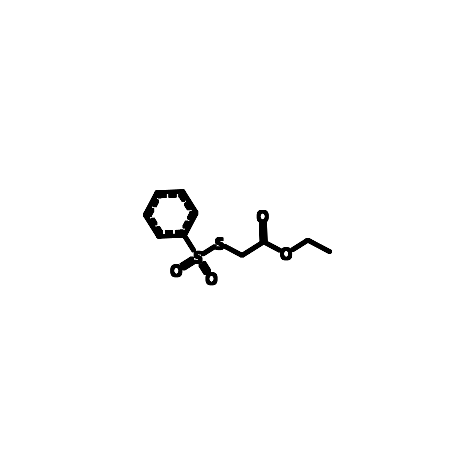 CCOC(=O)CSS(=O)(=O)c1ccccc1